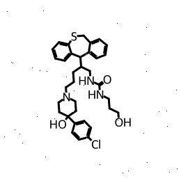 O=C(NCCCO)NCC(CCCN1CCC(O)(c2ccc(Cl)cc2)CC1)C1c2ccccc2CSc2ccccc21